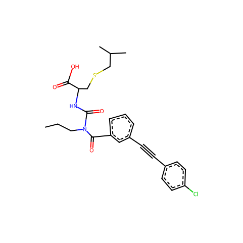 CCCN(C(=O)NC(CSCC(C)C)C(=O)O)C(=O)c1cccc(C#Cc2ccc(Cl)cc2)c1